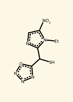 CCn1c([N+](=O)[O-])cnc1C(S)c1nnno1